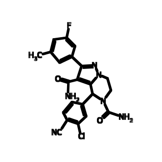 Cc1cc(F)cc(-c2nn3c(c2C(N)=O)C(c2ccc(C#N)c(Cl)c2)N(C(N)=O)CC3)c1